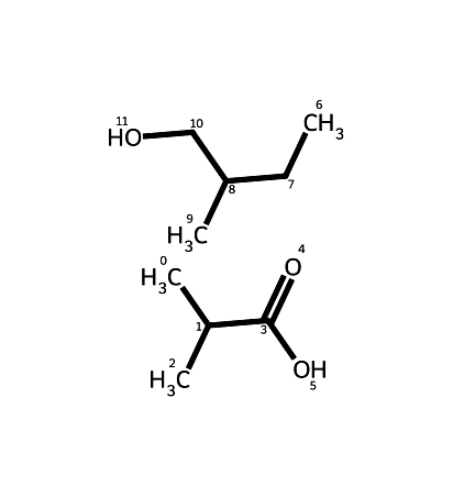 CC(C)C(=O)O.CCC(C)CO